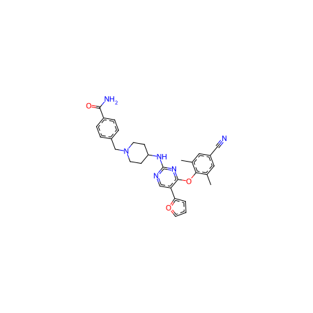 Cc1cc(C#N)cc(C)c1Oc1nc(NC2CCN(Cc3ccc(C(N)=O)cc3)CC2)ncc1-c1ccco1